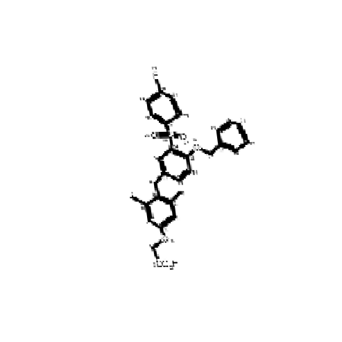 Cc1cc(OCC(=O)O)cc(C)c1Cc1ccc(OCc2ccccc2)c(S(=O)(=O)c2ccc(F)cc2)c1